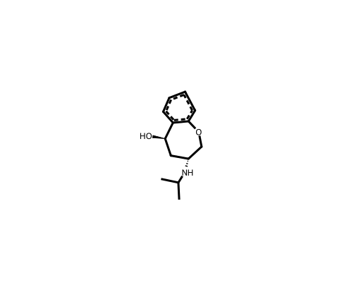 CC(C)N[C@H]1COc2ccccc2[C@H](O)C1